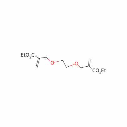 C=C(COCCOCC(=C)C(=O)OCC)C(=O)OCC